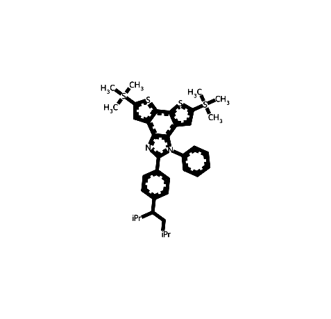 CC(C)CC(c1ccc(-c2nc3c4cc(S(C)(C)C)sc4c4sc(S(C)(C)C)cc4c3n2-c2ccccc2)cc1)C(C)C